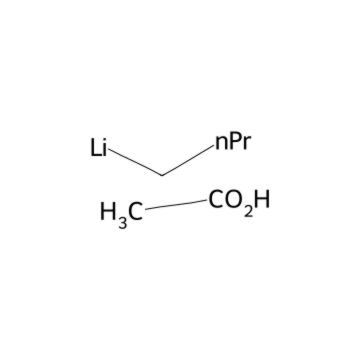 CC(=O)O.[Li][CH2]CCC